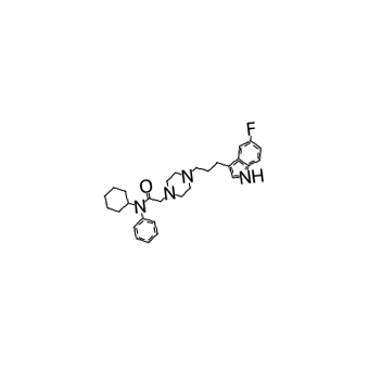 O=C(CN1CCN(CCCc2c[nH]c3ccc(F)cc23)CC1)N(c1ccccc1)C1CCCCC1